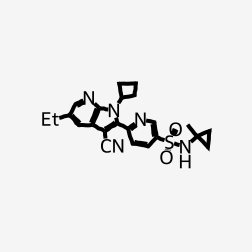 CCc1cnc2c(c1)c(C#N)c(-c1ccc(S(=O)(=O)NC3(C)CC3)cn1)n2C1CCC1